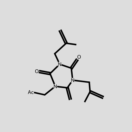 C=C(C)CN1C(=C)N(CC(C)=O)C(=O)N(CC(=C)C)C1=O